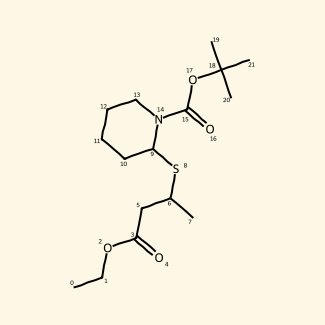 CCOC(=O)CC(C)SC1CCCCN1C(=O)OC(C)(C)C